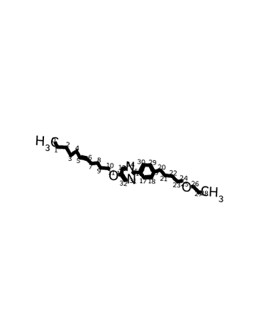 CCCCCC=CCCCCOc1cnc(-c2ccc(CCCCCOCCC)cc2)nc1